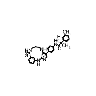 Cc1cccc(C(C)(C)C(=O)Nc2ccc(-c3cnc4nc3NCCCNS(=O)(=O)c3cccc(c3)N4)cc2)c1